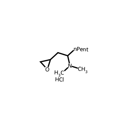 CCCCCC(CC1CO1)N(C)C.Cl